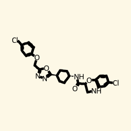 O=C(N[C@H]1CC[C@H](c2nnc(COc3ccc(Cl)cc3)o2)CC1)C1CNc2cc(Cl)ccc2O1